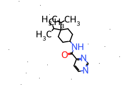 CC(C)C1(C(C)C)CCC(NC(=O)c2ccncn2)CC1